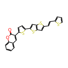 O=c1oc2ccccc2cc1-c1ccc(-c2cc3sc(/C=C/c4cccs4)cc3s2)s1